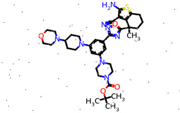 CC(C)(C)OC(=O)N1CCN(c2cc(-c3noc(C4(C)CCCc5sc(N)c(C#N)c54)n3)cc(N3CCC(N4CCOCC4)CC3)c2)CC1